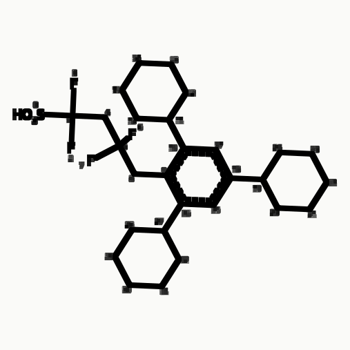 O=S(=O)(O)C(F)(F)CC(F)(F)Cc1c(C2CCCCC2)cc(C2CCCCC2)cc1C1CCCCC1